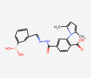 Cc1ccc(C)n1-c1cc(C(=O)N/N=C/c2cccc(B(O)O)c2)ccc1C(=O)O